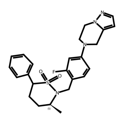 C[C@H]1CCC(c2ccccc2)S(=O)(=O)N1Cc1ccc(N2CCn3nccc3C2)cc1F